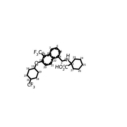 O=C(O)C1(NCc2cccc3c(C(F)(F)F)c(OC4CCC(C(F)(F)F)CC4)ccc23)CCCCC1